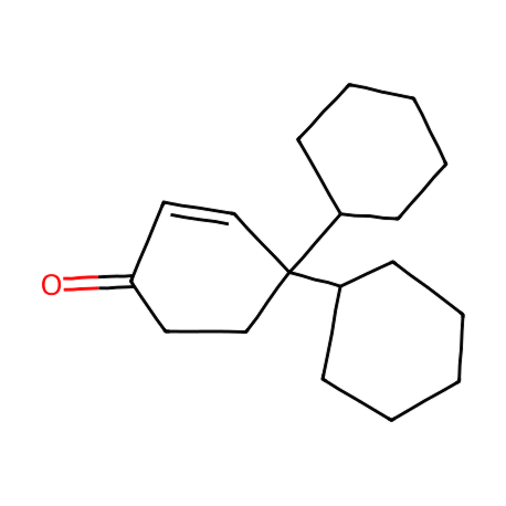 O=C1C=CC(C2CCCCC2)(C2CCCCC2)CC1